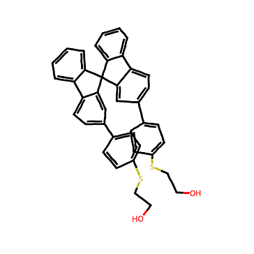 OCCSc1ccc(-c2ccc3c(c2)C2(c4ccccc4-3)c3ccccc3-c3ccc(-c4ccc(SCCO)cc4)cc32)cc1